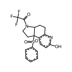 O=C(N1CCC2(S(=O)(=O)c3ccccc3)c3ccc(O)nc3CCC12)C(F)(F)F